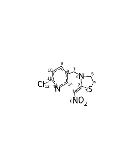 O=[N+]([O-])/C=C1\SCCN1Cc1ccc(Cl)nc1